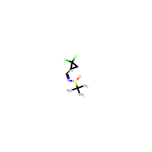 CC(C)(C)[S+]([O-])/N=C\[C@@H]1CC1(Cl)Cl